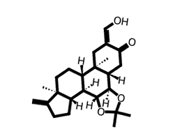 C=C1CC[C@H]2[C@@H]3[C@H]4OC(C)(C)O[C@@H]4[C@H]4CC(=O)C(=CO)C[C@]4(C)[C@H]3CC[C@]12C